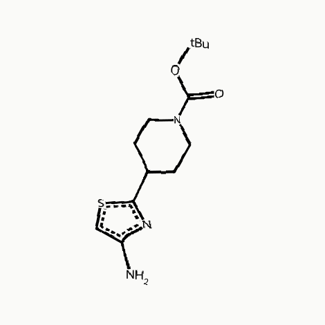 CC(C)(C)OC(=O)N1CCC(c2nc(N)cs2)CC1